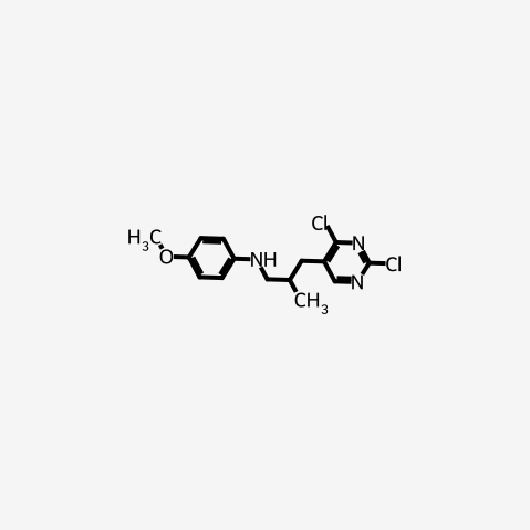 COc1ccc(NCC(C)Cc2cnc(Cl)nc2Cl)cc1